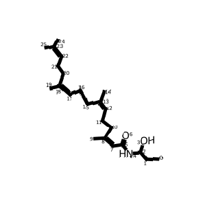 CCC(O)NC(=O)C=C(C)CCC=C(C)CCC=C(C)CCC=C(C)C